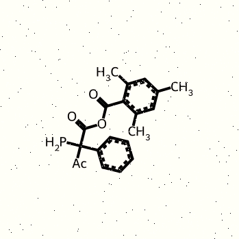 CC(=O)C(P)(C(=O)OC(=O)c1c(C)cc(C)cc1C)c1ccccc1